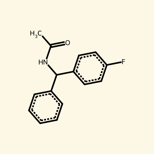 CC(=O)NC(c1ccccc1)c1ccc(F)cc1